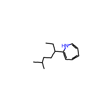 CCC(CCC(C)C)C1=CC=CC=CN1